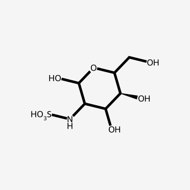 O=S(=O)(O)NC1C(O)OC(CO)[C@@H](O)C1O